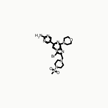 CS(=O)(=O)N1CCN(Cc2nc3c(N4CCOCC4)nc(-c4cnc(N)nc4)cn3c2Br)CC1